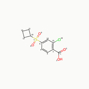 O=C(O)c1ccc(S(=O)(=O)C2CCC2)cc1Cl